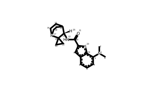 CN(C)c1cccc2cc(C(=O)N[C@H]3C4CCN(CC4)C34CC4)sc12